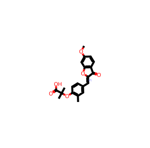 COc1ccc2c(c1)O/C(=C\c1ccc(OC(C)(C)C(=O)O)c(C)c1)C2=O